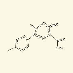 COC(=O)c1nn(-c2ccc(I)cc2)c(C)cc1=O